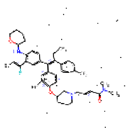 C/C=C(\C=C/C(=C/CC)OC1CCCN(C/C=C/C(=O)N(C)C)C1)C(=C(/CC(F)(F)F)c1ccc(C(F)(F)F)cc1)/c1ccc(NC2CCCCO2)c(/C(F)=C/CC)c1